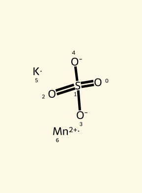 O=S(=O)([O-])[O-].[K].[Mn+2]